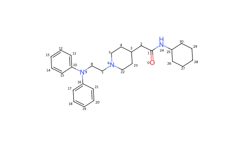 O=C(CC1CCN(CCN(c2ccccc2)c2ccccc2)CC1)NC1CCCCC1